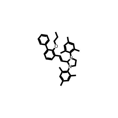 CCCOc1c(/C=C/C2N(c3c(C)cc(C)cc3C)CCN2c2c(C)cc(C)cc2C)cccc1-c1ccccc1